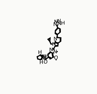 COc1cc(C(=O)N2C[C@H]3CC[C@@H]2[C@@H]3N)cc2nc(-c3cc4ccc(-c5ccc(-c6nnn[nH]6)cc5)nc4n3CC3CC3)n(C)c12